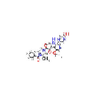 COc1cnc(-c2cnc(O)cn2)c2c1C(C(=O)C(=O)N1CCN(C(=O)c3ccccc3)C(C)C1)CN2